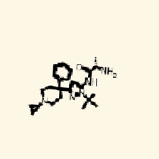 C[C@H](N)C(=O)Nc1cc(C2(c3ccccc3)CCN(C3CC3)CC2)nn1C(C)(C)C